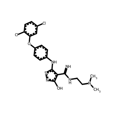 CN(C)CCNC(=N)c1c(O)nsc1Nc1ccc(Oc2cc(Cl)ccc2Cl)cc1